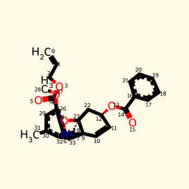 C=CCOC(=O)N1CC[C@@]23C=C[C@H](OC(=O)c4ccccc4)C[C@@H]2Oc2c(OC)cc(C)c(c23)C1